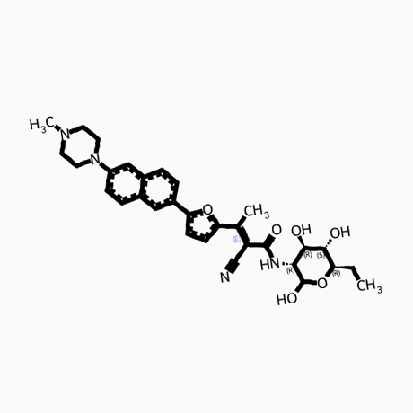 CC[C@H]1OC(O)[C@H](NC(=O)/C(C#N)=C(\C)c2ccc(-c3ccc4cc(N5CCN(C)CC5)ccc4c3)o2)[C@@H](O)[C@@H]1O